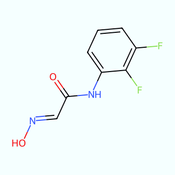 O=C(C=NO)Nc1cccc(F)c1F